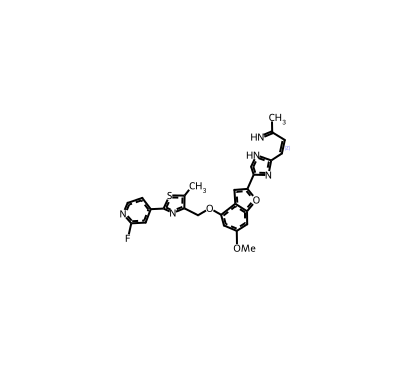 COc1cc(OCc2nc(-c3ccnc(F)c3)sc2C)c2cc(-c3c[nH]c(/C=C\C(C)=N)n3)oc2c1